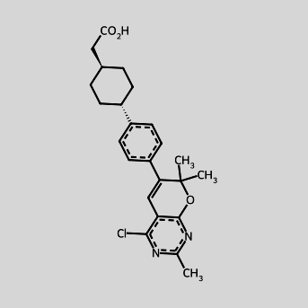 Cc1nc(Cl)c2c(n1)OC(C)(C)C(c1ccc([C@H]3CC[C@H](CC(=O)O)CC3)cc1)=C2